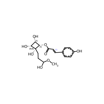 COC(O)CC[C@@]1(O)[C@H](O)[C@H](O)[C@@H]1OC(=O)/C=C/c1ccc(O)cc1